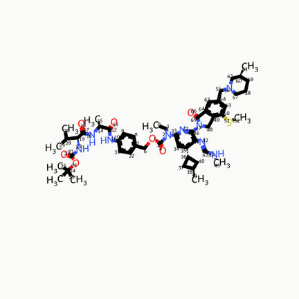 CCN(C(=O)OCc1ccc(NC(=O)[C@H](C)NC(=O)[C@@H](NC(=O)OC(C)(C)C)C(C)C)cc1)c1cc([C@H]2C[C@H](C)C2)c(/N=C/NC)c(N2Cc3c(SC)cc(CN4CCC[C@H](C)C4)cc3C2=O)n1